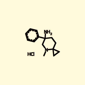 CN1CC(N)(c2ccccc2)CCC12CC2.Cl